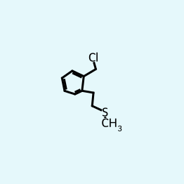 CSCCc1ccccc1CCl